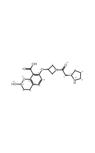 O=C(O)c1c(OC2CN(C(=O)C[C@H]3CCCN3)C2)ccc2c1OB(O)CC2